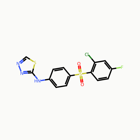 O=S(=O)(c1ccc(Nc2nncs2)cc1)c1ccc(F)cc1Cl